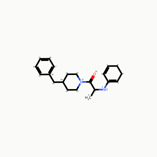 CC(NC1=CCCC=C1)C(=O)N1CCC(Cc2ccccc2)CC1